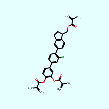 C=C(C)C(=O)OCC1CCc2cc(-c3ccc(-c4ccc(OC(=O)C(=C)C)c(OC(=O)C(=C)C)c4)cc3F)ccc21